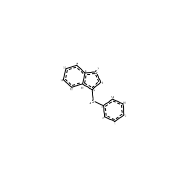 c1ccc(Sc2csc3ccccc23)cc1